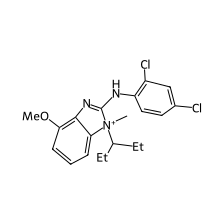 CCC(CC)[N+]1(C)C(Nc2ccc(Cl)cc2Cl)=Nc2c(OC)cccc21